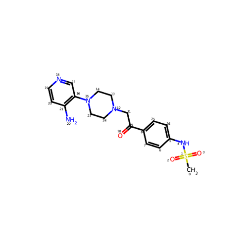 CS(=O)(=O)Nc1ccc(C(=O)CN2CCN(c3cnccc3N)CC2)cc1